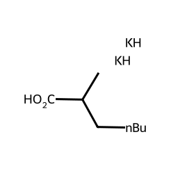 CCCCCC(C)C(=O)O.[KH].[KH]